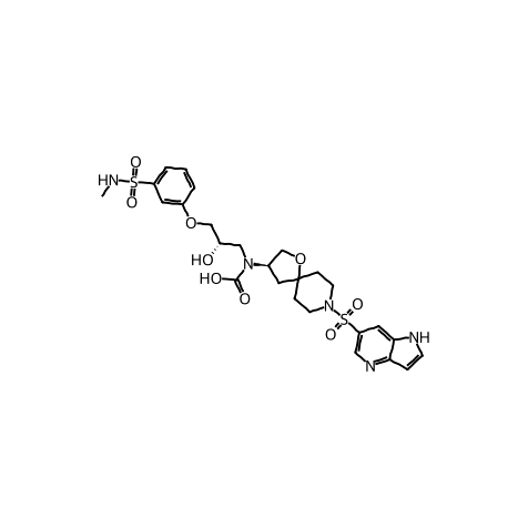 CNS(=O)(=O)c1cccc(OC[C@@H](O)CN(C(=O)O)[C@H]2COC3(CCN(S(=O)(=O)c4cnc5cc[nH]c5c4)CC3)C2)c1